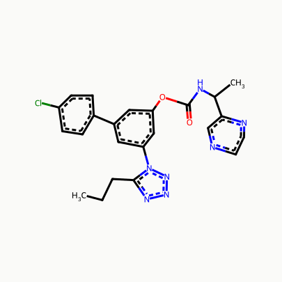 CCCc1nnnn1-c1cc(OC(=O)NC(C)c2cnccn2)cc(-c2ccc(Cl)cc2)c1